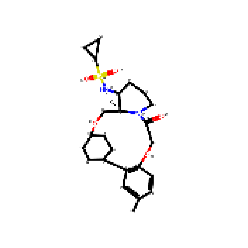 Cc1ccc2c(c1)C1CCC(CC1)OC[C@H]1C(NS(=O)(=O)C3CC3)CCCN1C(=O)CO2